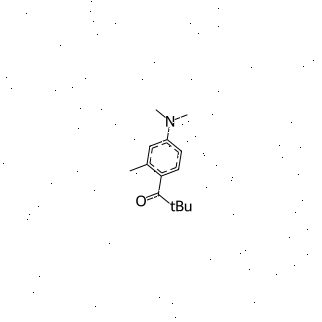 Cc1cc(N(C)C)ccc1C(=O)C(C)(C)C